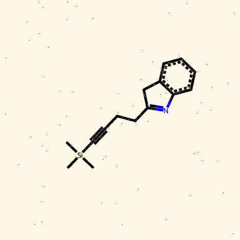 C[Si](C)(C)C#CCCC1=Nc2ccccc2C1